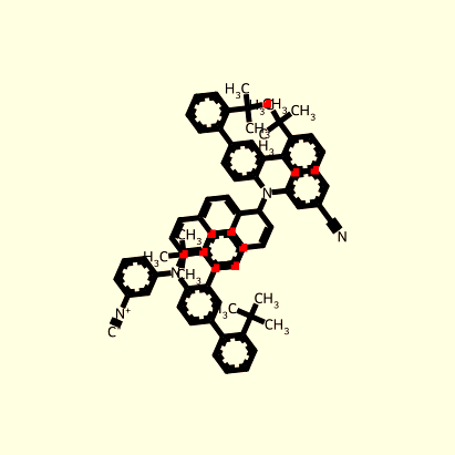 [C-]#[N+]c1cccc(N(C2=C3C=CC4=C5C(=CC=C(C=C2)C35)C(N(c2cccc(C#N)c2)c2ccc(-c3ccccc3C(C)(C)C)cc2-c2ccccc2C(C)(C)C)C=C4)c2ccc(-c3ccccc3C(C)(C)C)cc2-c2ccccc2C(C)(C)C)c1